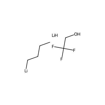 OCC(F)(F)F.[LiH].[Li][CH2]CCC